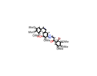 COc1cc(/C=C\c2cc(O)c(OC)c(N/C=C\C(=O)c3cc(OC)c(OC)c(OC)c3Br)c2)cc(OC)c1OC